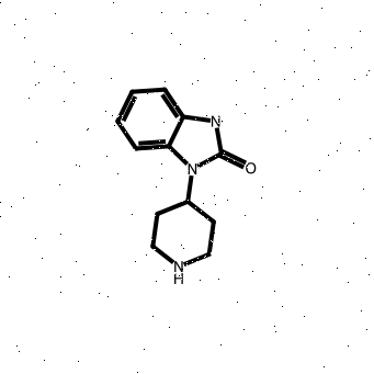 O=C1[N]c2ccccc2N1C1CCNCC1